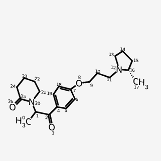 CC(C(=O)c1ccc(OCCCN2CCC[C@@H]2C)cc1)N1CCCCC1=O